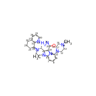 CCN(Cc1nc2cccc(N3CCN(C)CC3)n2c1C(N)=O)[C@H]1CCCc2cccnc21